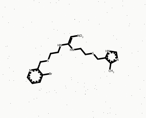 Cc1nc[nH]c1CSCCNC(=C[N+](=O)[O-])NCCSCc1ncccc1Br